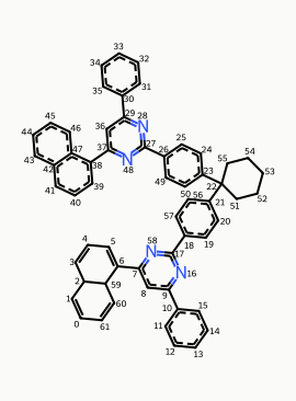 C1=CC2C=CC=C(c3cc(-c4ccccc4)nc(-c4ccc(C5(c6ccc(-c7nc(-c8ccccc8)cc(-c8cccc9ccccc89)n7)cc6)CCCCC5)cc4)n3)C2C=C1